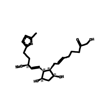 CO[C@H](C=C[C@@H]1[C@@H](CC=CCCCC(=O)CO)[C@@H](O)C[C@H]1O)CCc1ccc(C)s1